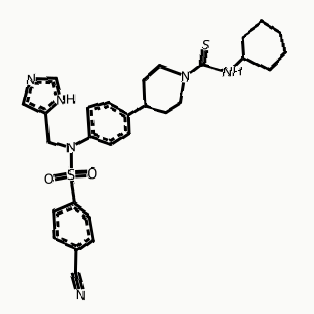 N#Cc1ccc(S(=O)(=O)N(Cc2cnc[nH]2)c2ccc(C3CCN(C(=S)NC4CCCCC4)CC3)cc2)cc1